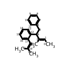 CC=C(C)[C](Cc1ccccc1)c1ccccc1C=C(C)C